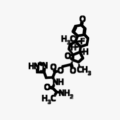 CC(N)C(=O)NC(Cc1c[nH]cn1)C(=O)OCC(=O)[C@]12O[C@@]13CC[C@@]1(F)[C@@H](CCC4=CC(=O)C=C[C@@]41C)[C@@H]3C[C@@H]2C